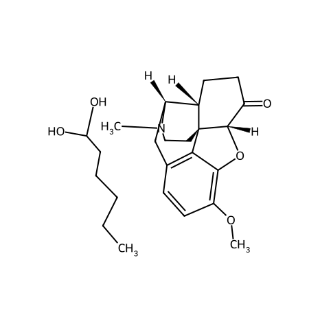 CCCCCC(O)O.COc1ccc2c3c1O[C@H]1C(=O)CC[C@H]4[C@@H](C2)N(C)CC[C@]314